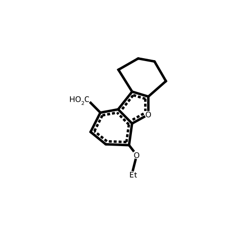 CCOc1ccc(C(=O)O)c2c3c(oc12)CCCC3